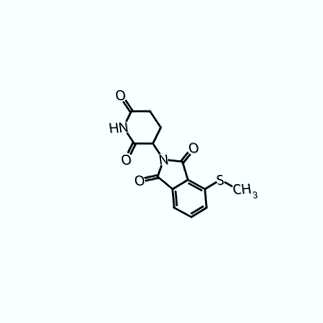 CSc1cccc2c1C(=O)N(C1CCC(=O)NC1=O)C2=O